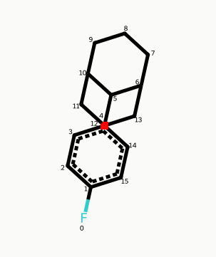 Fc1ccc(C2C3CCCC2CCC3)cc1